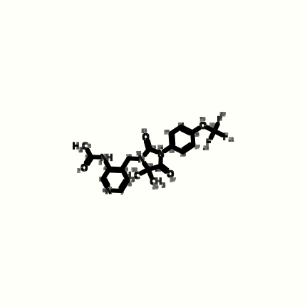 CC(=O)Nc1cnccc1CN1C(=O)N(c2ccc(OC(F)(F)F)cc2)C(=O)C1(C)C